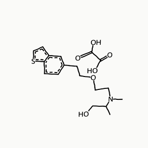 CC(CO)N(C)CCOCCc1ccc2sccc2c1.O=C(O)C(=O)O